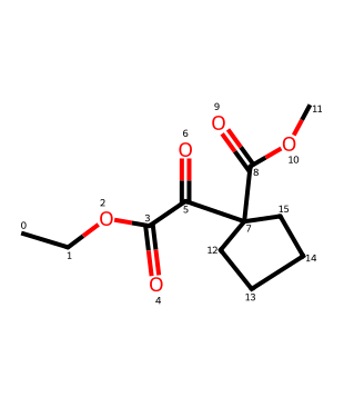 CCOC(=O)C(=O)C1(C(=O)OC)CCCC1